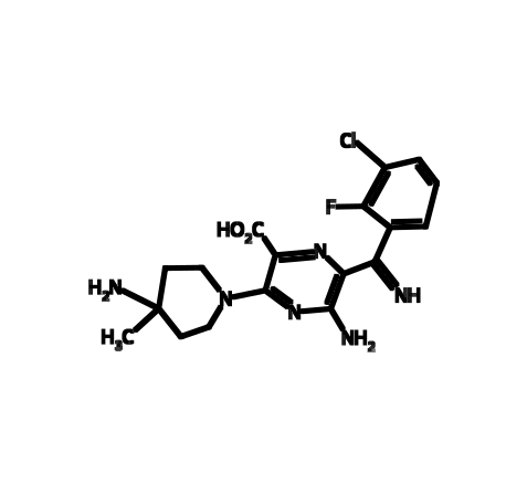 CC1(N)CCN(c2nc(N)c(C(=N)c3cccc(Cl)c3F)nc2C(=O)O)CC1